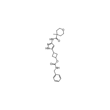 CC1(C(=O)Nc2cc(C3CC(OC(=O)NCc4ccccc4)C3)[nH]n2)CCOCC1